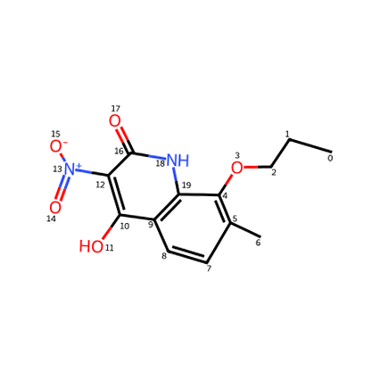 CCCOc1c(C)ccc2c(O)c([N+](=O)[O-])c(=O)[nH]c12